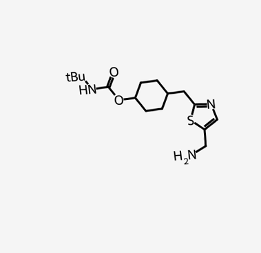 CC(C)(C)NC(=O)OC1CCC(Cc2ncc(CN)s2)CC1